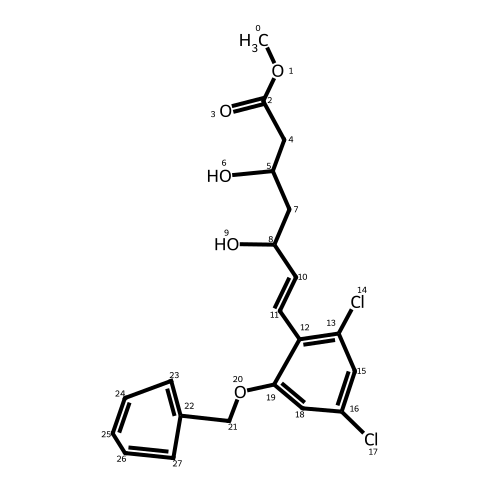 COC(=O)CC(O)CC(O)/C=C/c1c(Cl)cc(Cl)cc1OCc1ccccc1